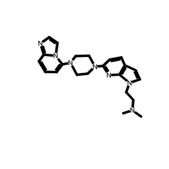 CN(C)CCn1ccc2ccc(N3CCN(c4cccc5nccn45)CC3)nc21